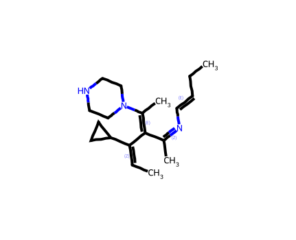 C\C=C(C(/C(C)=N\C=C\CC)=C(/C)N1CCNCC1)\C1CC1